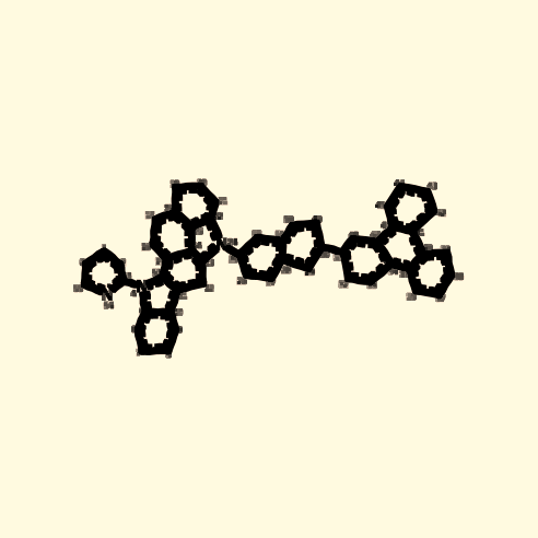 c1ccc(-n2c3ccccc3c3cc4c5c(ccc6cccc(c65)n4-c4ccc5cc(-c6ccc7c8ccccc8c8ccccc8c7c6)ccc5c4)c32)nc1